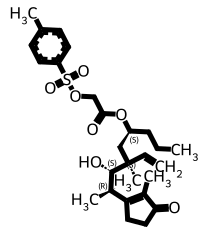 C=C[C@](C)(C[C@H](CCC)OC(=O)COS(=O)(=O)c1ccc(C)cc1)[C@@H](O)[C@H](C)C1=C(C)C(=O)CC1